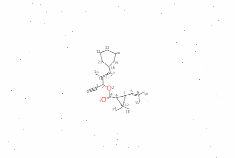 C#CC(OC(=O)C1C(C=C(C)C)C1(C)C)/C(C)=C/C1CCCCC1